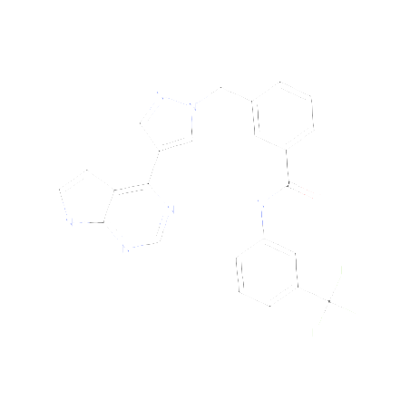 O=C(Nc1cccc(C(F)(F)F)c1)c1cccc(Cn2cc(-c3ncnc4[nH]ccc34)cn2)c1